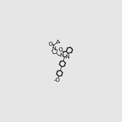 COc1ccc(-c2ccc(-c3nc4ccccc4c(=O)n3CC3CCN(C(=O)C4CC4)C3)cc2)cc1